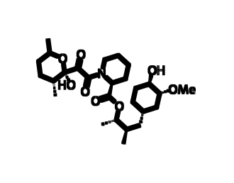 CO[C@@H]1C[C@H](C[C@@H](C)[C@H](C)OC(=O)[C@@H]2CCCCN2C(=O)C(=O)[C@]2(O)OC(C)CC[C@H]2C)CC[C@H]1O